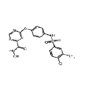 O=C(NO)c1ncnc(Oc2ccc(NS(=O)(=O)c3ccc(Cl)c(C(F)(F)F)c3)cc2)n1